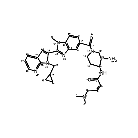 CN(C)C/C=C\C(=O)N[C@H]1CCN(C(=O)c2ccc3c(c2)nc(-c2cc4cccnc4n2CC2CC2)n3C)C[C@H]1N